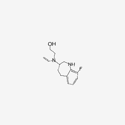 C=CN(CCO)C1CCc2cccc(F)c2NC1